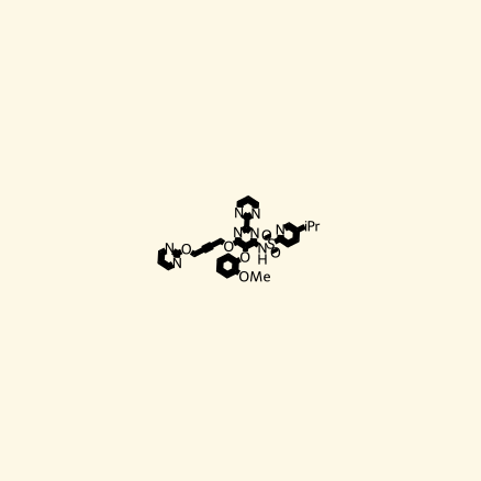 COc1ccccc1Oc1c(NS(=O)(=O)c2ccc(C(C)C)cn2)nc(-c2ncccn2)nc1OCC#CCOc1ncccn1